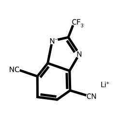 N#Cc1ccc(C#N)c2[n-]c(C(F)(F)F)nc12.[Li+]